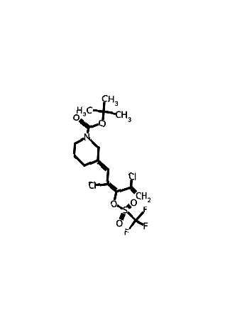 C=C(Cl)/C(OS(=O)(=O)C(F)(F)F)=C(Cl)\C=C1/CCCN(C(=O)OC(C)(C)C)C1